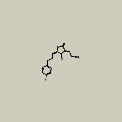 NCCN1C(=O)S/C(=C/CCc2ccc(Cl)cc2)C1=O